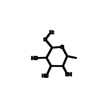 CCOC1OC(C)C(O)C(O)C1O